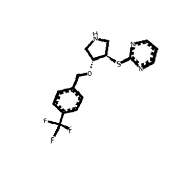 FC(F)(F)c1ccc(CO[C@@H]2CNC[C@H]2Sc2ncccn2)cc1